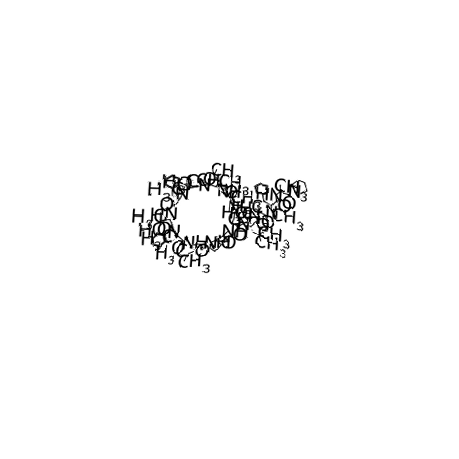 CC[C@H](C)[C@@H]1NC(=O)[C@H](C)NC(=O)C[C@@H](C(=O)N(C)[C@@H](CC(C)C)C(=O)N(C)[C@@H](C)C(=O)N(C)[C@@H](Cc2ccccc2)C(=O)N[C@@H](C)C(=O)N2CCCCC2)NC(=O)[C@@H]2CCCN2C(=O)[C@H](CC(C)C)NC(=O)[C@H](Cc2ccccc2)N(C)C(=O)[C@H]([C@@H](C)O)NC(=O)[C@H](Cc2ccccc2)N(C)C(=O)[C@H](C)N(C)C1=O